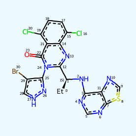 CC[C@H](Nc1ncnc2scnc12)c1nc2c(Cl)ccc(Cl)c2c(=O)n1-c1n[nH]cc1Br